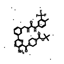 Cc1ccc(NC(=O)NCc2cccc(-c3cnc(N)c(C(=O)N4CCN(C(=O)OC(C)(C)C)CC4)n3)c2)cc1C(F)(F)F